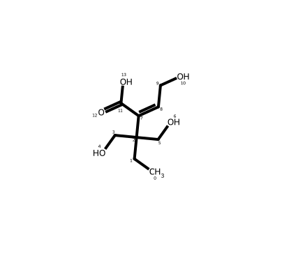 CCC(CO)(CO)C(=CCO)C(=O)O